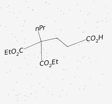 CCCC(CCC(=O)O)(C(=O)OCC)C(=O)OCC